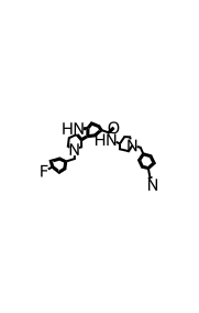 N#Cc1ccc(CN2CCC(NC(=O)c3ccc4[nH]c5c(c4c3)CN(Cc3ccc(F)cc3)CC5)CC2)cc1